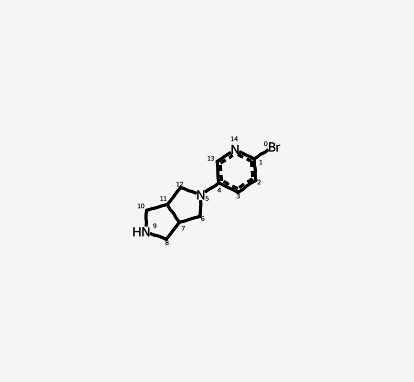 Brc1ccc(N2CC3CNCC3C2)cn1